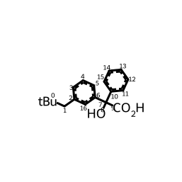 CC(C)(C)Cc1cccc(C(O)(C(=O)O)c2ccccc2)c1